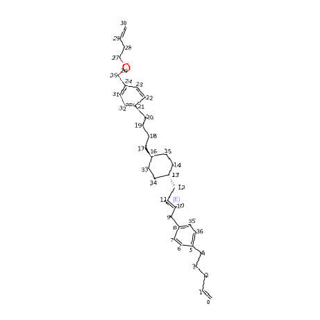 C=CCCCc1ccc(C/C=C/C[C@H]2CC[C@H](CCCCc3ccc(COCCC=C)cc3)CC2)cc1